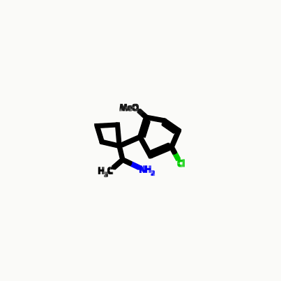 COc1ccc(Cl)cc1C1(C(C)N)CCC1